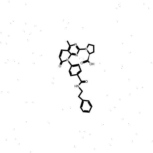 Cc1nc(N2CCC[C@H]2C(=O)O)nc2c1ccc(=O)n2-c1ccc(C(=O)NCCc2ccccc2)cc1